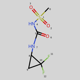 CS(=O)(=O)NC(=O)NC1CC1(F)F